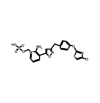 Nc1c(-c2cc(Cc3ccc(Oc4nc(Cl)cs4)cc3)no2)ccc[n+]1COP(=O)([O-])O